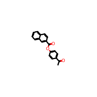 CC(=O)c1ccc(OC(=O)c2ccc3ccccc3c2)cc1